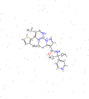 COCc1c(C(=O)NC(C)(C)c2ccncc2)cnn1-c1ncc(C)c(-c2cccs2)n1